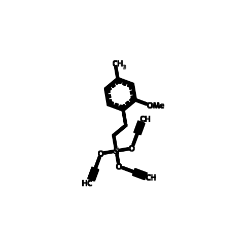 C#CO[Si](CCc1ccc(C)cc1OC)(OC#C)OC#C